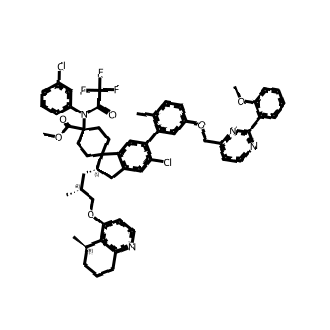 COC(=O)C1(N(C(=O)C(F)(F)F)c2cccc(Cl)c2)CCC2(CC1)c1cc(-c3cc(OCc4ccnc(-c5ccccc5OC)n4)ccc3C)c(Cl)cc1C[C@@H]2C[C@@H](C)COc1ccnc2c1[C@H](C)CCC2